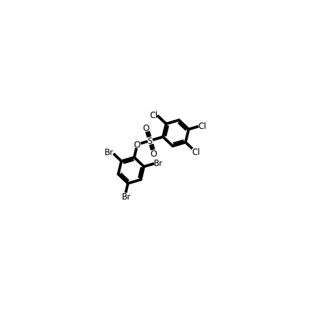 O=S(=O)(Oc1c(Br)cc(Br)cc1Br)c1cc(Cl)c(Cl)cc1Cl